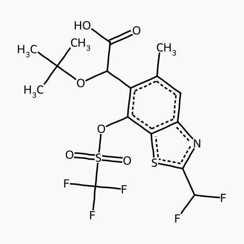 Cc1cc2nc(C(F)F)sc2c(OS(=O)(=O)C(F)(F)F)c1C(OC(C)(C)C)C(=O)O